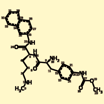 CNCCC[C@H](NC(=O)[C@@H](N)Cc1ccc(NC(=O)OC)cc1)C(=O)Nc1ccc2ccccc2c1